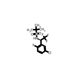 CC(C)(C)S(=O)(=O)N[C@H](c1cc(Cl)ccc1F)C(F)(F)F